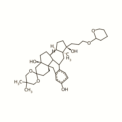 CC1(C)COC2(CC[C@@]34Cc5cc(O)ccc5C5C[C@@]6(C)[C@H](CC[C@]6(O)CCCOC6CCCCO6)[C@H](CC[C@@]3(O)C2)C54)OC1